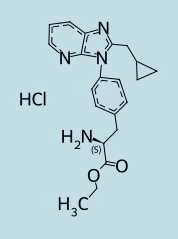 CCOC(=O)[C@@H](N)Cc1ccc(-n2c(CC3CC3)nc3cccnc32)cc1.Cl